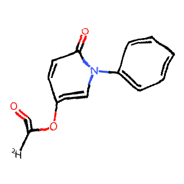 [2H]C(=O)Oc1ccc(=O)n(-c2ccccc2)c1